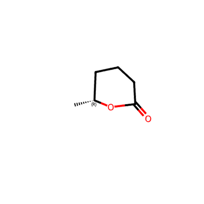 C[C@@H]1CCCC(=O)O1